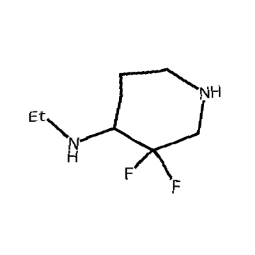 CCNC1CCNCC1(F)F